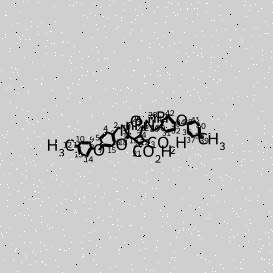 CCCN(Cc1ccc(Oc2ccc(C)cc2)cc1)C(=O)C1C(C(=O)O)C(C(=O)O)C1C(=O)N(CCC)Cc1ccc(Oc2ccc(C)cc2)cc1